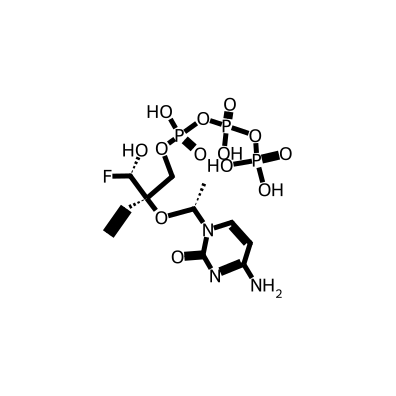 C#C[C@](COP(=O)(O)OP(=O)(O)OP(=O)(O)O)(O[C@H](C)n1ccc(N)nc1=O)[C@@H](O)F